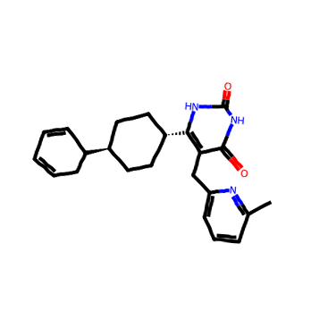 Cc1cccc(Cc2c(=O)[nH]c(=O)[nH]c2[C@H]2CC[C@H](C3C=CC=CC3)CC2)n1